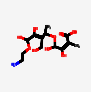 C/C(C(=O)O)=C(\O)C(O)OC(C)/C(CO)=C(\O)C(O)OCCN